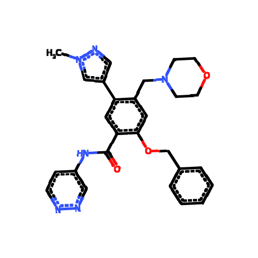 Cn1cc(-c2cc(C(=O)Nc3ccnnc3)c(OCc3ccccc3)cc2CN2CCOCC2)cn1